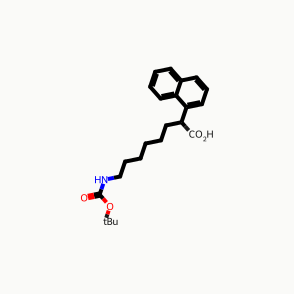 CC(C)(C)OC(=O)NCCCCCCC(C(=O)O)c1cccc2ccccc12